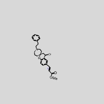 COC(=O)/C=C/c1ccc2c(c1)C(=O)CC1(CCCN(CCc3ccccc3)CC1)O2